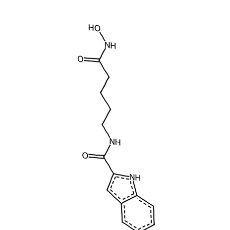 O=C(CCCCNC(=O)c1cc2ccccc2[nH]1)NO